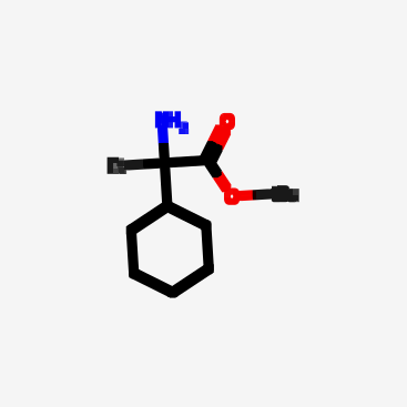 [CH2]CC(N)(C(=O)OC(C)(C)C)C1CCCCC1